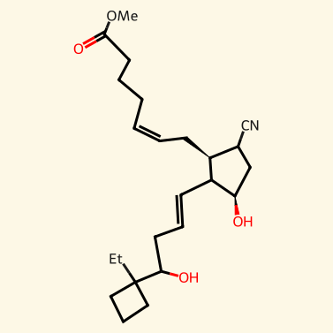 CCC1(C(O)C/C=C/C2[C@@H](C/C=C\CCCC(=O)OC)C(C#N)C[C@H]2O)CCC1